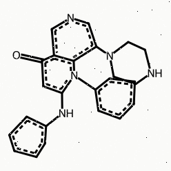 O=c1cc(Nc2ccccc2)n(-c2ccccc2)c2c(N3CCNCC3)cncc12